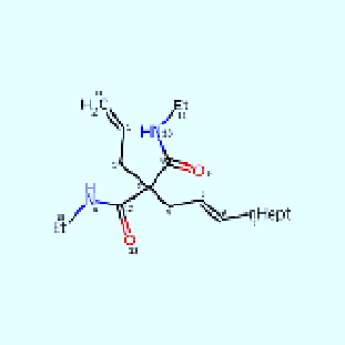 C=CCC(CC=CCCCCCCC)(C(=O)NCC)C(=O)NCC